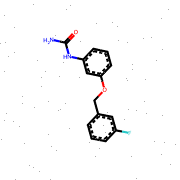 NC(=O)Nc1cccc(OCc2cccc(F)c2)c1